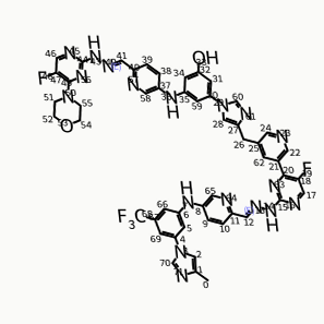 Cc1cn(-c2cc(Nc3ccc(/C=N/Nc4ncc(F)c(-c5cncc(Cc6cn(-c7cc(O)cc(Nc8ccc(/C=N/Nc9ncc(F)c(N%10CCOCC%10)n9)nc8)c7)cn6)c5)n4)nc3)cc(C(F)(F)F)c2)cn1